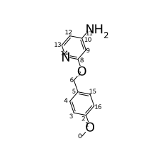 COc1ccc(COc2cc(N)ccn2)cc1